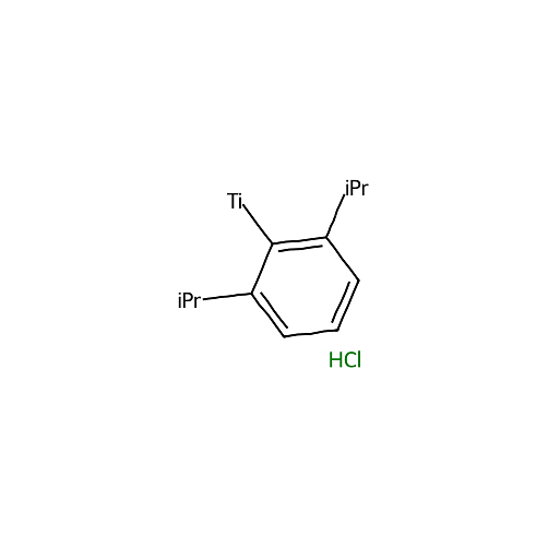 CC(C)c1cccc(C(C)C)[c]1[Ti].Cl